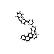 c1cc(-c2ccc3c(c2)-c2cc4c5ccccc5ccc4c4cccc-3c24)cc(-c2ccc3oc4ccccc4c3c2)c1